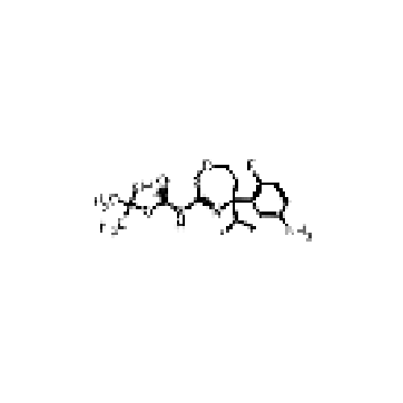 CC(C)(C)OC(=O)NC1=NC(c2cc(N)ccc2F)(C(F)F)CCOC1